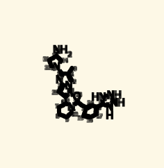 Cc1cn2nc([C@@H]3CCCCN3C(=O)c3cccc(C4NNNN4)c3)cc2nc1N1CC[C@H](N)C1